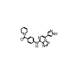 O=C(c1ccc(Nc2ncc(-c3cn[nH]c3)n3ncnc23)cc1)N1CC=CCC1